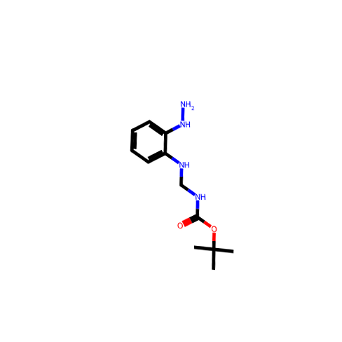 CC(C)(C)OC(=O)NCNc1ccccc1NN